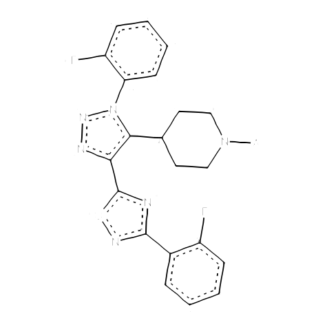 CC(=O)N1CCC(c2c(-c3nc(-c4ccccc4F)no3)nnn2-c2ccccc2F)CC1